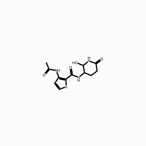 CC(=O)Nc1ccsc1C(=O)NC1CCC(=O)NC1O